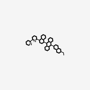 CCc1ccc2cc(-c3c4ccccc4c(-c4ccc(-c5cccc(-c6ccccn6)n5)c5ccccc45)c4ccccc34)ccc2c1